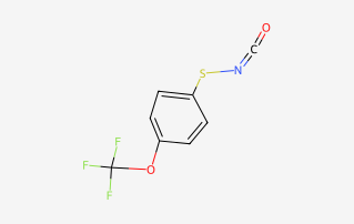 O=C=NSc1ccc(OC(F)(F)F)cc1